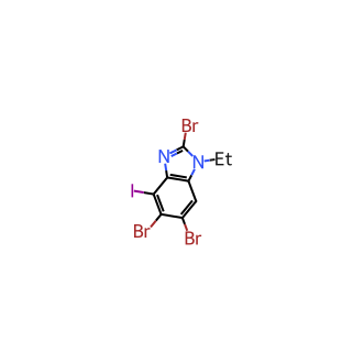 CCn1c(Br)nc2c(I)c(Br)c(Br)cc21